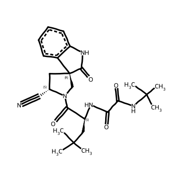 CC(C)(C)C[C@H](NC(=O)C(=O)NC(C)(C)C)C(=O)N1C[C@]2(C[C@H]1C#N)C(=O)Nc1ccccc12